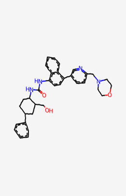 O=C(Nc1ccc(-c2ccc(CN3CCOCC3)nc2)c2ccccc12)NC1CCC(c2ccccc2)CC1CO